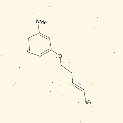 CCC/C=C/CCOc1cccc(NC)c1